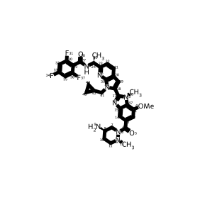 COc1cc(C(=O)N2C[C@H](N)CCN2C)cc2nc(-c3cc4ccc([C@@H](C)NC(=O)c5c(F)cc(F)cc5F)nc4n3CC3CC3)n(C)c12